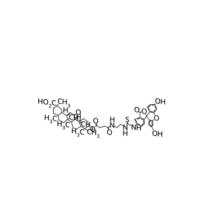 CC1(C)C2CC[C@]3(C)[C@H](C(=O)C=C4[C@@H]5C[C@@](C)(C(=O)O)CC[C@]5(C)CC[C@]43C)[C@@]2(C)CC[C@@H]1OC(=O)CCC(=O)NCCNC(=S)Nc1ccc2c(c1)C(=O)OC21c2ccc(O)cc2Oc2cc(O)ccc21